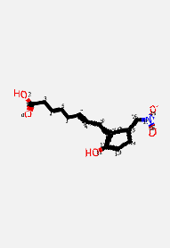 O=C(O)CCCC/C=C/CC1C(O)CCC1C[N+](=O)[O-]